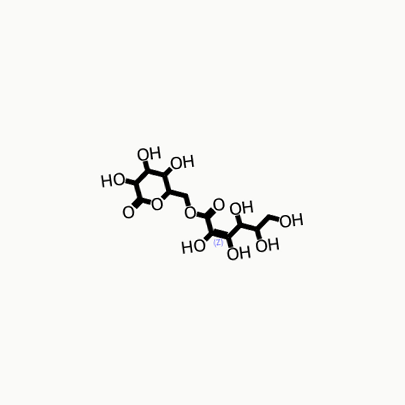 O=C(OCC1OC(=O)C(O)C(O)C1O)/C(O)=C(/O)C(O)C(O)CO